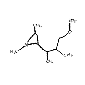 CC(C)OCC(C)C(C)C1C(C)N1C